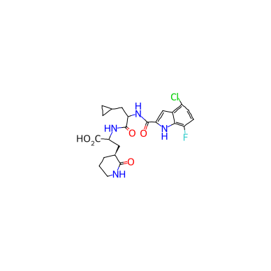 O=C(NC(CC1CC1)C(=O)NC(C[C@@H]1CCCNC1=O)C(=O)O)c1cc2c(Cl)ccc(F)c2[nH]1